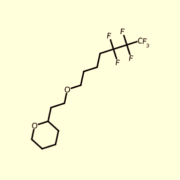 FC(F)(F)C(F)(F)C(F)(F)CCCCOCCC1CCCCO1